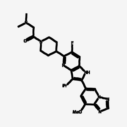 COc1cc(-c2[nH]c3cc(F)c(C4CCN(C(=O)CN(C)C)CC4)nc3c2C(C)C)cn2ncnc12